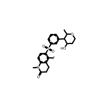 CC1OCCC(O)C1c1cccc(S(=O)(=O)c2ccc3c(c2F)CCC(=O)N3C)c1